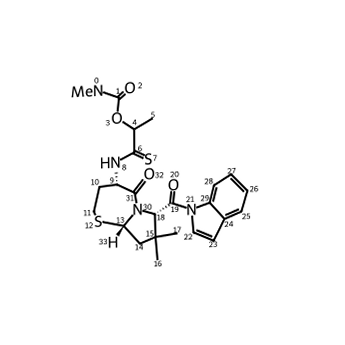 CNC(=O)OC(C)C(=S)N[C@H]1CCS[C@H]2CC(C)(C)[C@@H](C(=O)n3ccc4ccccc43)N2C1=O